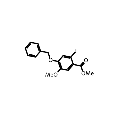 COC(=O)c1cc(OC)c(OCc2ccccc2)cc1I